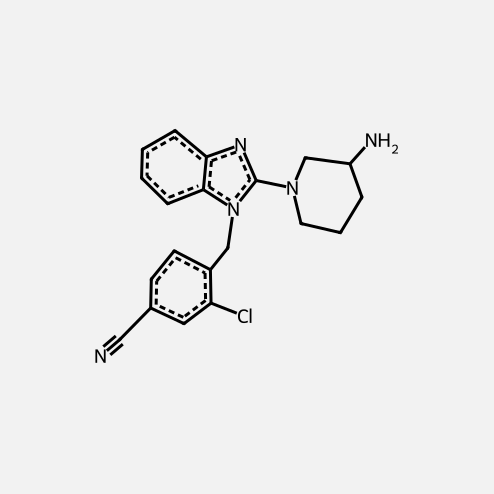 N#Cc1ccc(Cn2c(N3CCCC(N)C3)nc3ccccc32)c(Cl)c1